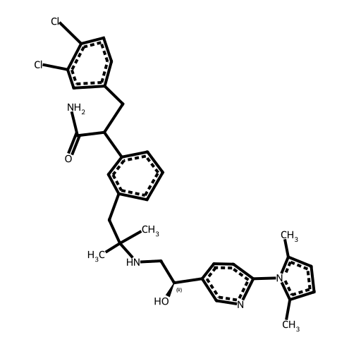 Cc1ccc(C)n1-c1ccc([C@@H](O)CNC(C)(C)Cc2cccc(C(Cc3ccc(Cl)c(Cl)c3)C(N)=O)c2)cn1